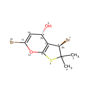 CC1(C)SC2=C([C@H]1Br)[C@@H](O)C=C(Br)O2